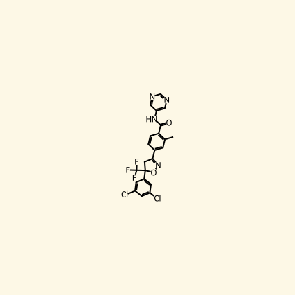 Cc1cc(C2=NOC(c3cc(Cl)cc(Cl)c3)(C(F)(F)F)C2)ccc1C(=O)Nc1cncnc1